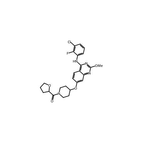 COc1nc(Nc2cccc(Cl)c2F)c2ccc(OC3CCN(C(=O)C4CCCO4)CC3)cc2n1